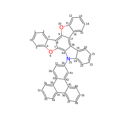 c1ccc2c(c1)oc1c2c2oc3ccccc3c2c2c3ccccc3n(-c3ccc4c5ccccc5c5ccccc5c4c3)c12